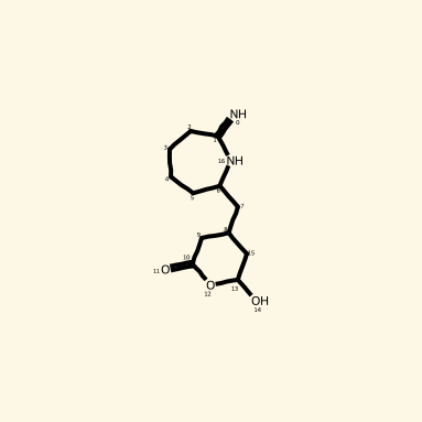 N=C1CCCCC(CC2CC(=O)OC(O)C2)N1